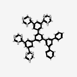 c1ccc(-c2cc(-c3ccccc3)cc(-c3cc(-c4cc(-c5ncncn5)cc(-c5ncncn5)c4)cc(-c4cc(-c5ncncn5)cc(-c5ncncn5)c4)c3)c2)cc1